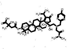 CC(C)C1=C2[C@H]3CC[C@@H]4[C@@]5(C)CC[C@H](OC(=O)CC(C)(C)C(=O)O)C(C)(C)[C@@H]5CC[C@@]4(C)[C@]3(C)CC[C@@]2([C@@H](O)CN(CC(=O)N(C)C)Cc2ncc(Cl)cn2)CC1=O